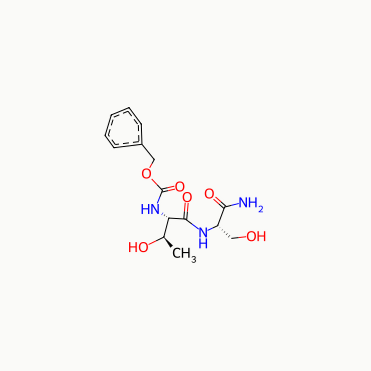 C[C@@H](O)[C@H](NC(=O)OCc1ccccc1)C(=O)N[C@@H](CO)C(N)=O